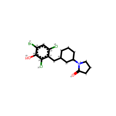 O=C1CCCN1C1CCCC(Cc2c(Cl)cc(Br)c(O)c2Cl)C1